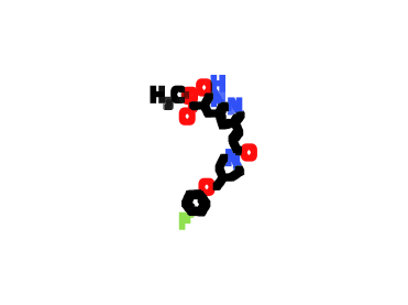 COC(=O)C1Cc2cc(C=CC(=O)N3CCC(COc4ccc(F)cc4)CC3)cnc2NC1=O